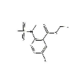 CCOC(=O)c1cc(Cl)nnc1N(C)S(C)(=O)=O